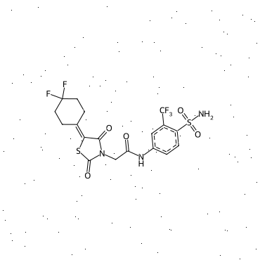 NS(=O)(=O)c1ccc(NC(=O)CN2C(=O)SC(=C3CCC(F)(F)CC3)C2=O)cc1C(F)(F)F